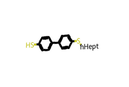 CCCCCCCSc1ccc(-c2ccc(S)cc2)cc1